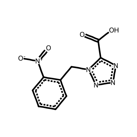 O=C(O)c1nnnn1Cc1ccccc1[N+](=O)[O-]